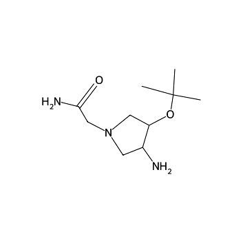 CC(C)(C)OC1CN(CC(N)=O)CC1N